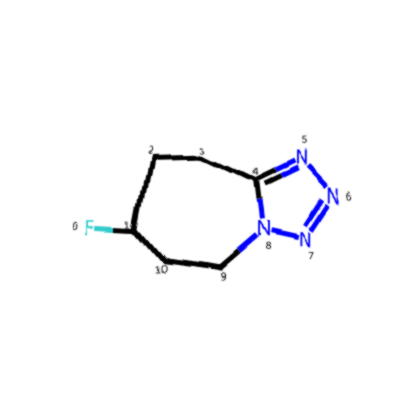 FC1CCc2nnnn2CC1